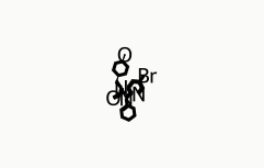 CO[C@H]1CC[C@@H](Cn2c(=O)n(C3=CCCCC3)c3ncc(Br)cc32)CC1